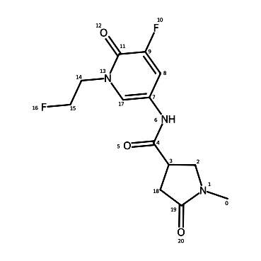 CN1CC(C(=O)Nc2cc(F)c(=O)n(CCF)c2)CC1=O